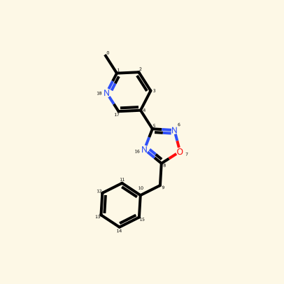 Cc1ccc(-c2noc(Cc3ccccc3)n2)cn1